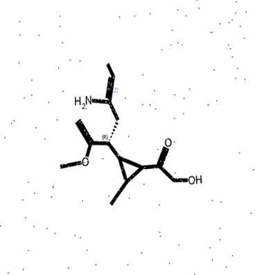 C=C(OC)[C@H](C/C(N)=C/C)C1C(C)C1C(=O)CO